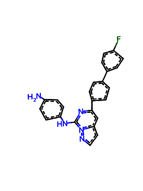 Nc1ccc(Nc2nc(-c3ccc(-c4ccc(F)cc4)cc3)cc3ccnn23)cc1